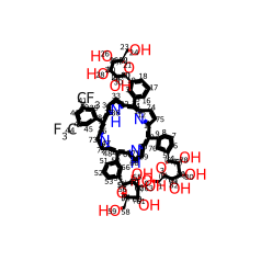 OC[C@H]1O[C@@H](c2cccc(-c3c4nc(c(-c5cccc([C@@H]6O[C@H](CO)[C@@H](O)[C@H](O)[C@H]6O)c5)c5ccc([nH]5)c(-c5cc(C(F)(F)F)cc(C(F)(F)F)c5)c5nc(c(-c6cccc([C@@H]7O[C@H](CO)[C@@H](O)[C@H](O)[C@H]7O)c6)c6ccc3[nH]6)C=C5)C=C4)c2)[C@H](O)[C@@H](O)[C@@H]1O